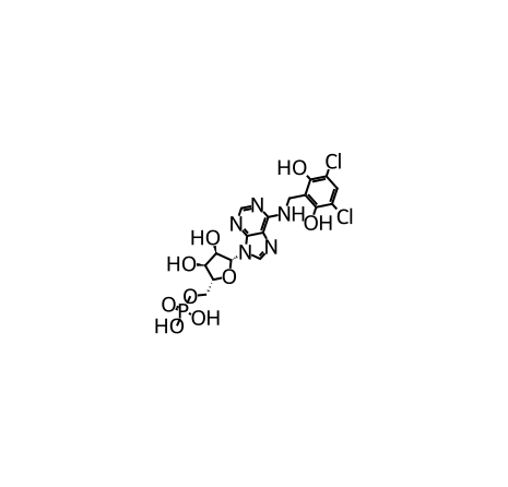 O=P(O)(O)OC[C@H]1O[C@@H](n2cnc3c(NCc4c(O)c(Cl)cc(Cl)c4O)ncnc32)[C@H](O)[C@@H]1O